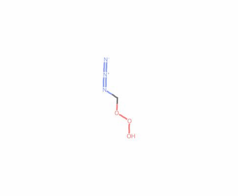 [N-]=[N+]=NCOOO